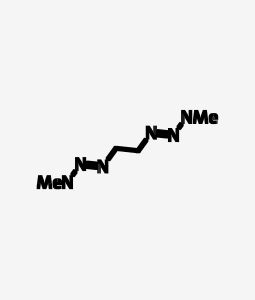 CNN=NCCN=NNC